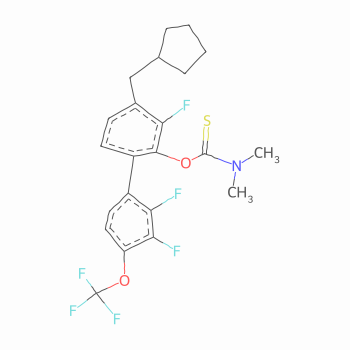 CN(C)C(=S)Oc1c(-c2ccc(OC(F)(F)F)c(F)c2F)ccc(CC2CCCC2)c1F